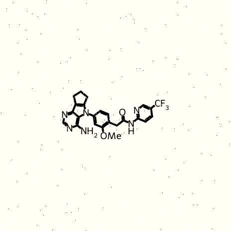 COc1cc(-n2c3c(c4ncnc(N)c42)CCC3)ccc1CC(=O)Nc1ccc(C(F)(F)F)cn1